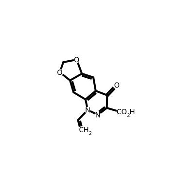 C=Cn1nc(C(=O)O)c(=O)c2cc3c(cc21)OCO3